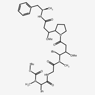 CCC(C)C(C(CC(=O)N1CCCC1C(CC(=O)N[C@H](C)Cc1ccccc1)OC)OC)N(C)C(=O)CNC(=O)C(C(C)C)N(C)C(=O)OC(C)(C)C